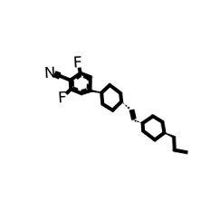 CCC[C@H]1CC[C@H](/C=C/[C@H]2CC[C@H](c3cc(F)c(C#N)c(F)c3)CC2)CC1